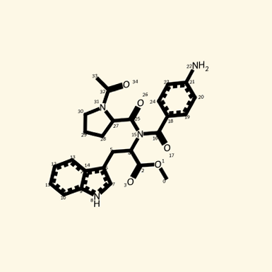 COC(=O)C(Cc1c[nH]c2ccccc12)N(C(=O)c1ccc(N)cc1)C(=O)C1CCCN1C(C)=O